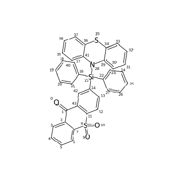 O=C1c2ccccc2S(=O)(=O)c2ccc([Si](c3ccccc3)(c3ccccc3)N3c4ccccc4Sc4ccccc43)cc21